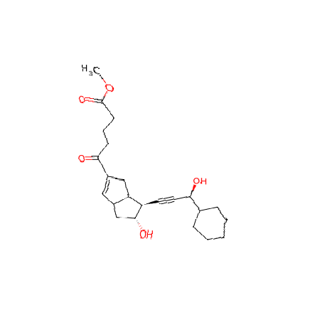 COC(=O)CCCC(=O)C1=CC2C[C@@H](O)[C@H](C#C[C@@H](O)C3CCCCC3)C2C1